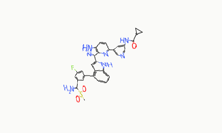 CS(=O)(=O)C(N)c1cc(F)cc(-c2cccc3[nH]c(-c4n[nH]c5ccc(-c6cncc(NC(=O)C7CC7)c6)nc45)cc23)c1